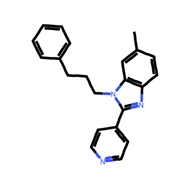 Cc1ccc2nc(-c3ccncc3)n(CCCc3ccccc3)c2c1